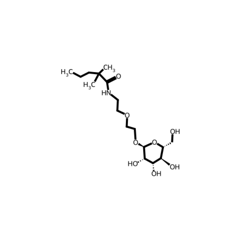 CCCC(C)(C)C(=O)NCCOCCO[C@H]1O[C@H](CO)[C@@H](O)[C@H](O)[C@@H]1O